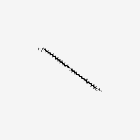 CCCCCCCCCCCCCCCCCCCCC=COC=CCCCCCCCCCCCCCCCCCCCC